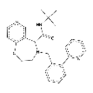 CC(C)(C)NC(=O)C1c2cnccc2OCCN1Cc1ccccc1-c1ccccn1